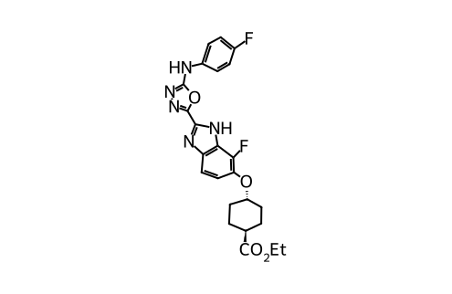 CCOC(=O)[C@H]1CC[C@H](Oc2ccc3nc(-c4nnc(Nc5ccc(F)cc5)o4)[nH]c3c2F)CC1